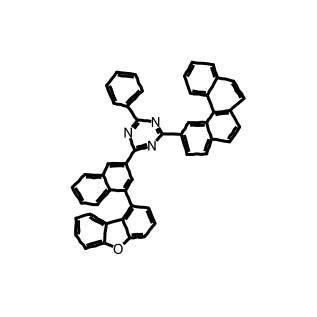 c1ccc(-c2nc(-c3cc(-c4cccc5oc6ccccc6c45)c4ccccc4c3)nc(-c3ccc4ccc5ccc6ccccc6c5c4c3)n2)cc1